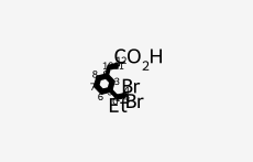 CCC(=C(Br)Br)c1cccc(C=CC(=O)O)c1